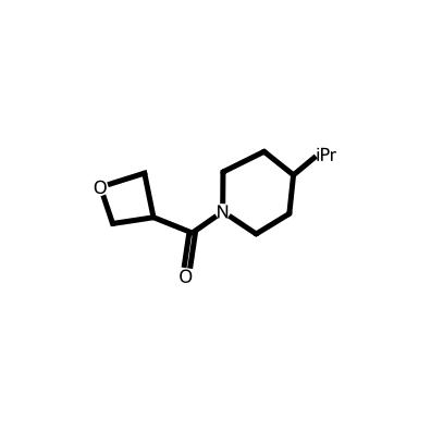 CC(C)C1CCN(C(=O)C2COC2)CC1